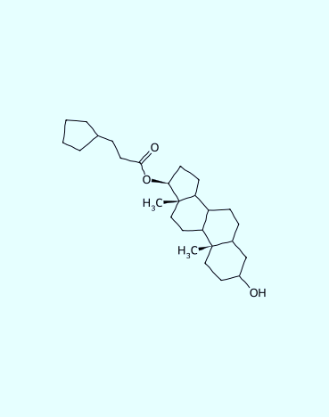 C[C@]12CCC(O)CC1CCC1C2CC[C@@]2(C)C1CC[C@@H]2OC(=O)CCC1CCCC1